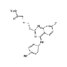 COC(=O)CCCSc1nc(Nc2ccc(C#N)cc2)c2ccc(F)cc2n1